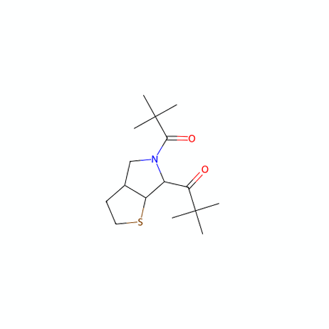 CC(C)(C)C(=O)C1C2SCCC2CN1C(=O)C(C)(C)C